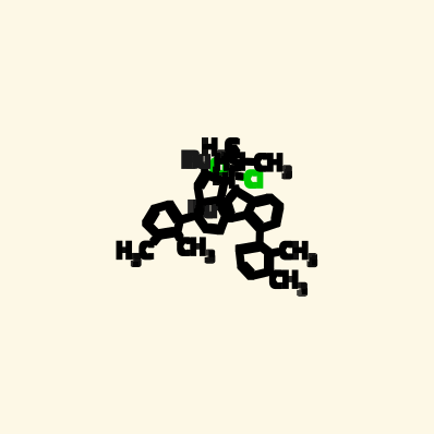 CCC(C)C1=Cc2c(-c3cccc(C)c3C)cccc2[CH]1[Hf]([Cl])([Cl])([CH]1C(C(C)CC)=Cc2c(-c3cccc(C)c3C)cccc21)[SiH](C)C